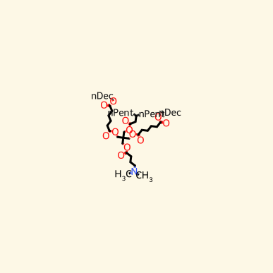 CCCCCCCCCCOC(=O)CCCCC(=O)OCC(COC(=O)CCCCC(=O)OCCCCCCCCCC)(COC(=O)CCCN(C)C)COC(=O)CC(CCCCC)CCCCC